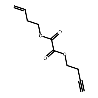 C#CCCOC(=O)C(=O)OCCC=C